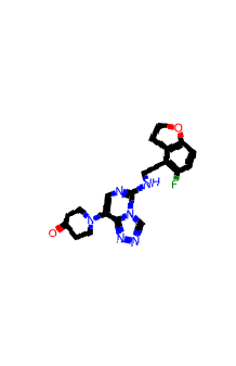 O=C1CCN(c2cnc(NCc3c(F)ccc4c3CCO4)n3cnnc23)CC1